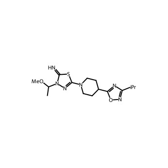 COC(C)n1nc(N2CCC(c3nc(C(C)C)no3)CC2)sc1=N